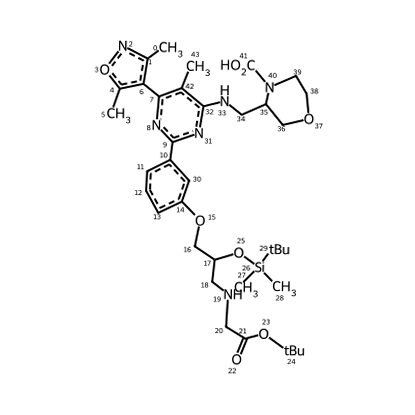 Cc1noc(C)c1-c1nc(-c2cccc(OCC(CNCC(=O)OC(C)(C)C)O[Si](C)(C)C(C)(C)C)c2)nc(NCC2COCCN2C(=O)O)c1C